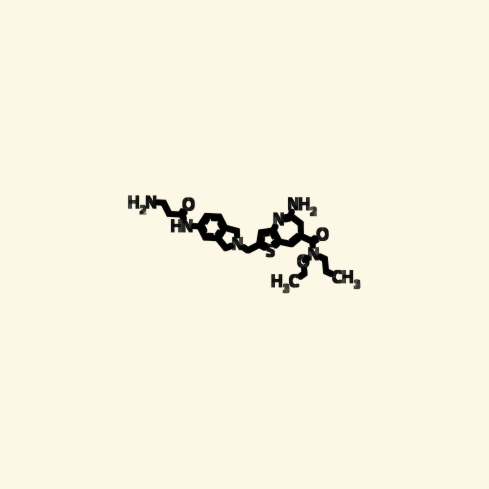 CCCN(OCC)C(=O)C1=Cc2sc(CN3Cc4ccc(NC(=O)CCN)cc4C3)cc2N=C(N)C1